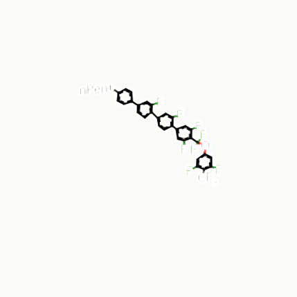 CCCCCc1ccc(-c2ccc(-c3ccc(-c4cc(F)c(C(F)(F)Oc5cc(F)c(C(F)(F)F)c(F)c5)c(F)c4)c(F)c3)c(F)c2)cc1